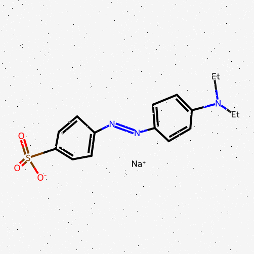 CCN(CC)c1ccc(N=Nc2ccc(S(=O)(=O)[O-])cc2)cc1.[Na+]